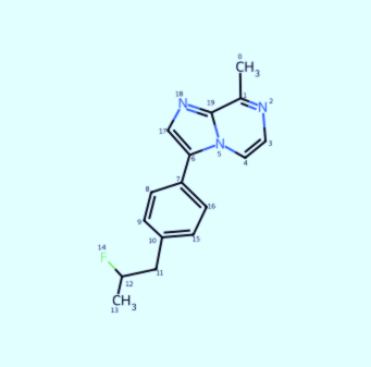 Cc1nccn2c(-c3ccc(CC(C)F)cc3)cnc12